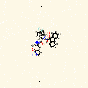 N#C[C@@H](C[C@H]1CCNC1=O)NC(=O)[C@@H]1[C@H]2CCC(F)(F)[C@H]2CN1C(=O)C1(O)c2ccccc2-c2ccccc21